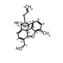 C=CCN1CC[C@]23C4=CC=C(CO)C2Oc2c(C)ccc(c23)C[C@@H]41